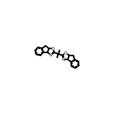 CC(C)(C1=NC2c3ccccc3CC2O1)C1=NC2c3ccccc3CC2O1